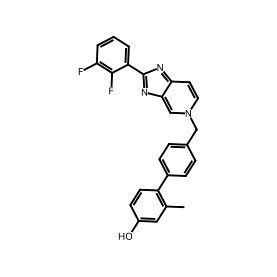 Cc1cc(O)ccc1-c1ccc(Cn2ccc3nc(-c4cccc(F)c4F)nc-3c2)cc1